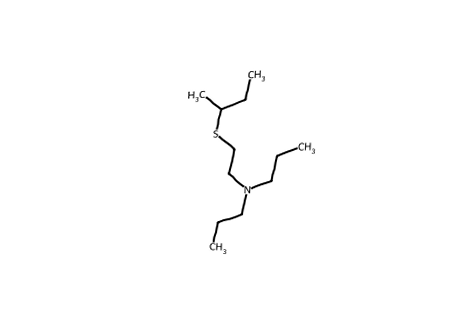 CCCN(CCC)CCSC(C)CC